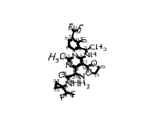 Cc1nc(N[C@H](C)c2cccc(C(F)F)c2F)c(C2OCCO2)c(C(N)C(=O)NC2(C(F)F)CC2)n1